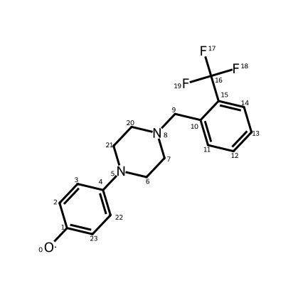 [O]c1ccc(N2CCN(Cc3ccccc3C(F)(F)F)CC2)cc1